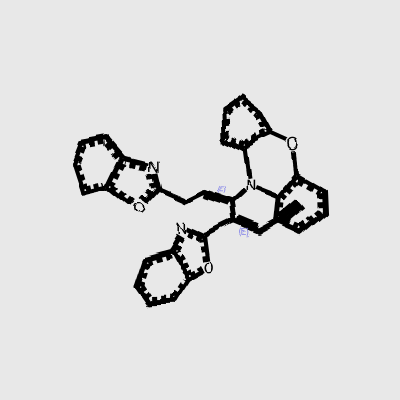 C#C/C=C(\C(=C/Cc1nc2ccccc2o1)N1c2ccccc2Oc2ccccc21)c1nc2ccccc2o1